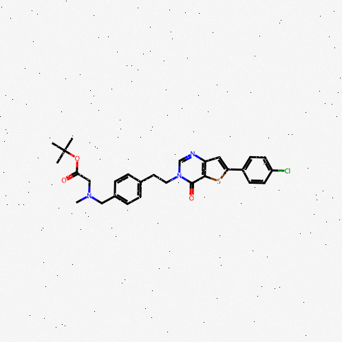 CN(CC(=O)OC(C)(C)C)Cc1ccc(CCn2cnc3cc(-c4ccc(Cl)cc4)sc3c2=O)cc1